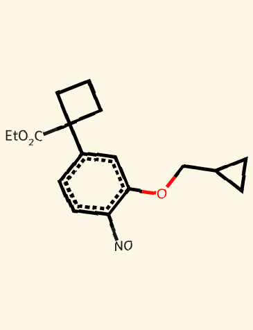 CCOC(=O)C1(c2ccc(N=O)c(OCC3CC3)c2)CCC1